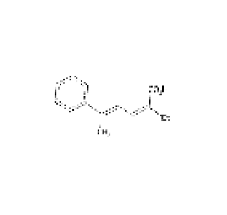 CCC(=CC=C(C)c1ccccc1)C(=O)O